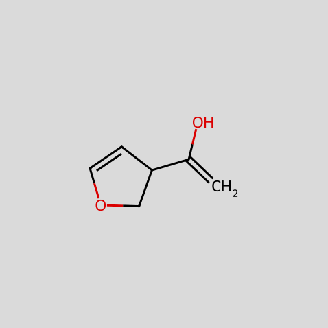 C=C(O)C1C=COC1